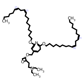 CCCCC/C=C\C/C=C\CCCCCCCCOC1=CC(CO[C@H]2COC2CCN(CC)CC)=CCC(OCCCCCCCC/C=C\C/C=C\CCCCCC)=N1